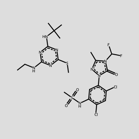 CCNc1nc(NC(C)(C)C)nc(SC)n1.Cc1nn(-c2cc(NS(C)(=O)=O)c(Cl)cc2Cl)c(=O)n1C(F)F